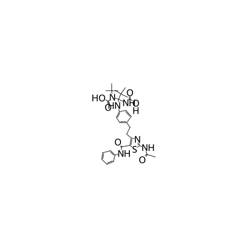 CC(=O)Nc1nc(CCc2ccc(NC(NC(=O)O)(N(C(=O)O)C(C)(C)C)C(C)(C)C)cc2)c(C(=O)Nc2ccccc2)s1